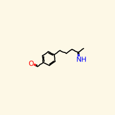 CC(=N)CCCc1ccc(C=O)cc1